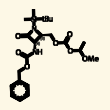 COC(C)OC(=O)OC[C@H]1[C@@H](NC(=O)OCc2ccccc2)C(=O)N1[Si](C)(C)C(C)(C)C